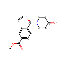 C=C.COC(=O)c1ccc(C(=O)N2CCC(=O)CC2)cc1